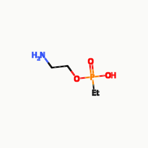 CCP(=O)(O)OCCN